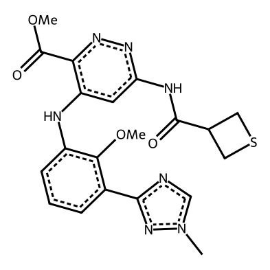 COC(=O)c1nnc(NC(=O)C2CSC2)cc1Nc1cccc(-c2ncn(C)n2)c1OC